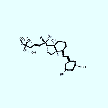 CCOC(=O)OC(C)(C)[C@@H](O)/C=C/[C@](C)(F)[C@H]1CC[C@H]2/C(=C/C=C3C[C@@H](O)C[C@H](O)C3)CCC[C@@]21C